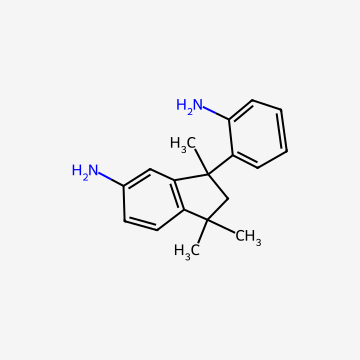 CC1(C)CC(C)(c2ccccc2N)c2cc(N)ccc21